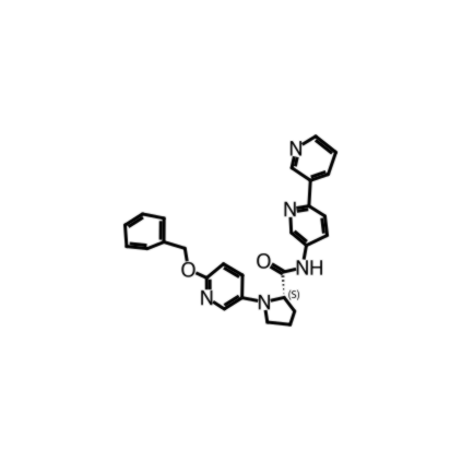 O=C(Nc1ccc(-c2cccnc2)nc1)[C@@H]1CCCN1c1ccc(OCc2ccccc2)nc1